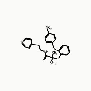 CC(C)(Oc1ccccc1Oc1ccc([N+](=O)[O-])cc1)C(=O)NCCc1ccncc1